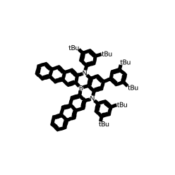 CC(C)(C)c1cc(-c2cc3c4c(c2)N(c2cc(C(C)(C)C)cc(C(C)(C)C)c2)c2cc5cc6ccccc6cc5cc2B4c2cc4cc5ccccc5cc4cc2N3c2cc(C(C)(C)C)cc(C(C)(C)C)c2)cc(C(C)(C)C)c1